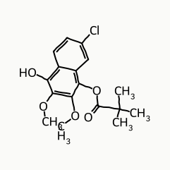 COc1c(OC)c(OC(=O)C(C)(C)C)c2cc(Cl)ccc2c1O